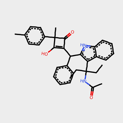 CCC(CC)(NC(C)=O)c1c(C(C2=C(O)C(C)(c3ccc(C)cc3)C2=O)c2ccccc2)[nH]c2ccccc12